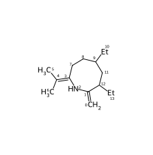 C=C1NC(=C(C)C)CCC(CC)CC1CC